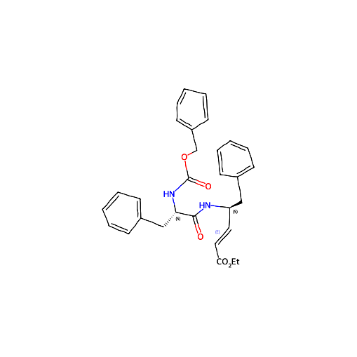 CCOC(=O)/C=C/[C@H](Cc1ccccc1)NC(=O)[C@H](Cc1ccccc1)NC(=O)OCc1ccccc1